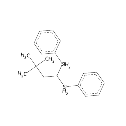 CC(C)(C)CC([SiH2]c1ccccc1)[SiH2]c1ccccc1